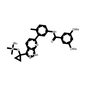 COc1cc(OC)cc(C(=O)Nc2ccc(C)c(-c3ccc4c(C5(O[Si](C)(C)C(C)(C)C)CC5)n[nH]c4n3)c2)c1